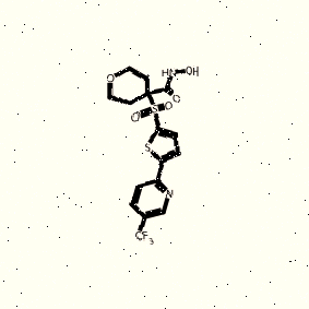 O=C(NO)C1(S(=O)(=O)c2ccc(-c3ccc(C(F)(F)F)cn3)s2)CCOCC1